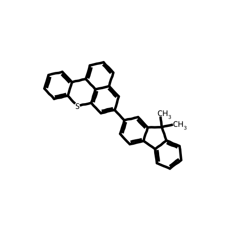 CC1(C)c2ccccc2-c2ccc(-c3cc4c5c(cccc5c3)-c3ccccc3S4)cc21